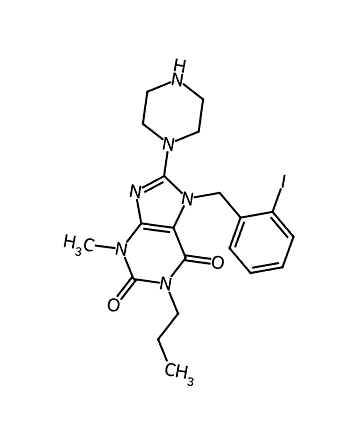 CCCn1c(=O)c2c(nc(N3CCNCC3)n2Cc2ccccc2I)n(C)c1=O